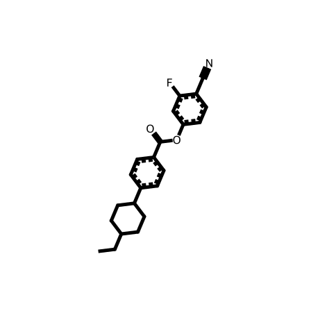 CCC1CCC(c2ccc(C(=O)Oc3ccc(C#N)c(F)c3)cc2)CC1